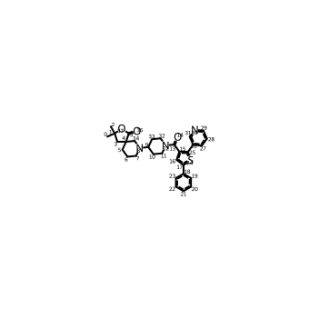 CC1(C)CC2(CCCN(C3CCN(C(=O)c4cc(-c5ccccc5)sc4-c4cccnc4)CC3)C2)C(=O)O1